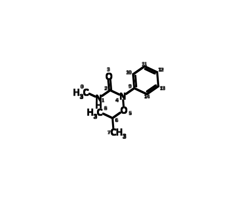 CNC(=O)N(OC(C)C)c1ccccc1